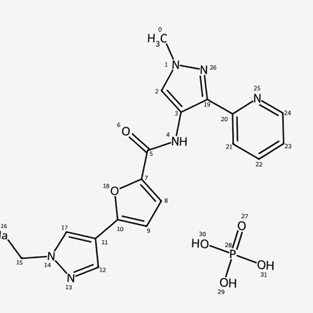 Cn1cc(NC(=O)c2ccc(-c3cnn([CH2][Na])c3)o2)c(-c2ccccn2)n1.O=P(O)(O)O